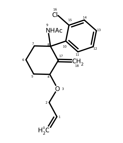 C=CCOC1CCCC(NC(C)=O)(c2ccccc2Cl)C1=C